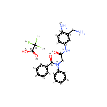 NCc1cc(NC(=O)CN(C(=O)c2ccccc2)c2ccccc2)ccc1N.O=C(O)C(F)(F)F